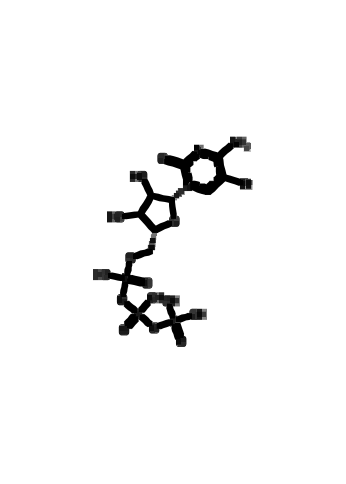 CCc1cn([C@@H]2O[C@H](COP(=O)(O)OP(=O)(O)OP(=O)(O)O)C(O)C2O)c(=O)nc1N